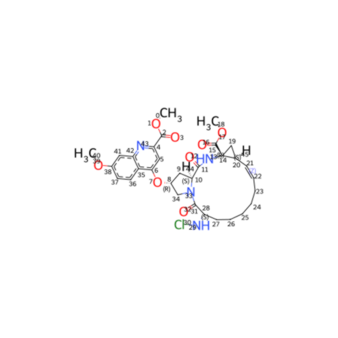 COC(=O)c1cc(O[C@@H]2C[C@H]3C(=O)N[C@]4(C(=O)OC)C[C@H]4/C=C\CCCCC[C@H](NCl)C(=O)N3C2)c2ccc(OC)cc2n1